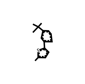 Cc1ccc(-c2cccc(C(C)(C)C)c2)s1